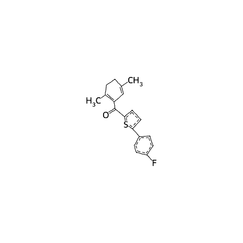 CC1=CC(C(=O)c2ccc(-c3ccc(F)cc3)s2)=C(C)CC1